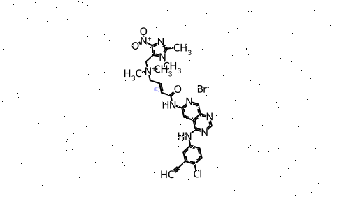 C#Cc1cc(Nc2ncnc3cnc(NC(=O)/C=C/C[N+](C)(C)Cc4c([N+](=O)[O-])nc(C)n4C)cc23)ccc1Cl.[Br-]